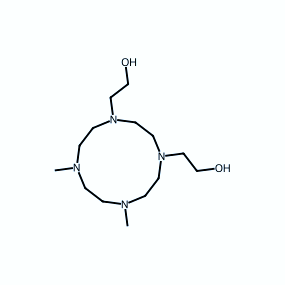 CN1CCN(C)CCN(CCO)CCN(CCO)CC1